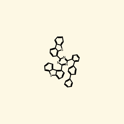 c1ccc(-c2ccc(-c3ccccc3-c3nc(-c4cccc5c4sc4ccccc45)nc(-c4cccc5sc6ccccc6c45)n3)cc2)cc1